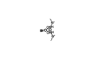 CCCC[N+](C)(C)CCCNc1ccc(NCCC[N+](C)(C)CCCC)c2c1C(=O)c1ccccc1C2=O.[Br-].[Br-]